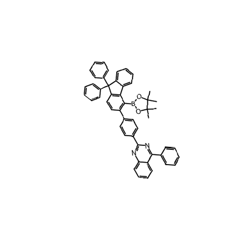 CC1(C)OB(c2c(-c3ccc(-c4nc(-c5ccccc5)c5ccccc5n4)cc3)ccc3c2-c2ccccc2C3(c2ccccc2)c2ccccc2)OC1(C)C